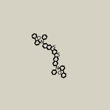 c1ccc(N(c2ccc3cc4c(cc3c2)sc2cc3sc5cc6cc(N(c7ccccc7)c7cccc8c7oc7ccccc78)ccc6cc5c3cc24)c2cccc3c2oc2ccccc23)cc1